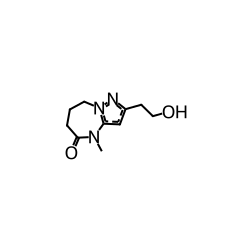 CN1C(=O)CCCn2nc(CCO)cc21